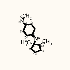 C=NC1CCC(=N[C@]2(C)CCC[C@H]2C)CC1